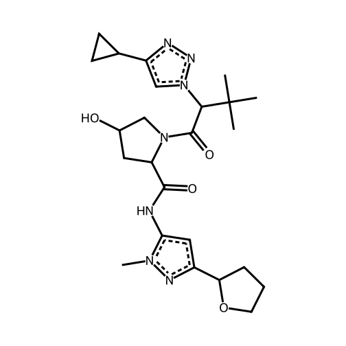 Cn1nc(C2CCCO2)cc1NC(=O)C1CC(O)CN1C(=O)C(n1cc(C2CC2)nn1)C(C)(C)C